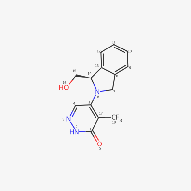 O=c1[nH]ncc(N2Cc3ccccc3[C@@H]2CO)c1C(F)(F)F